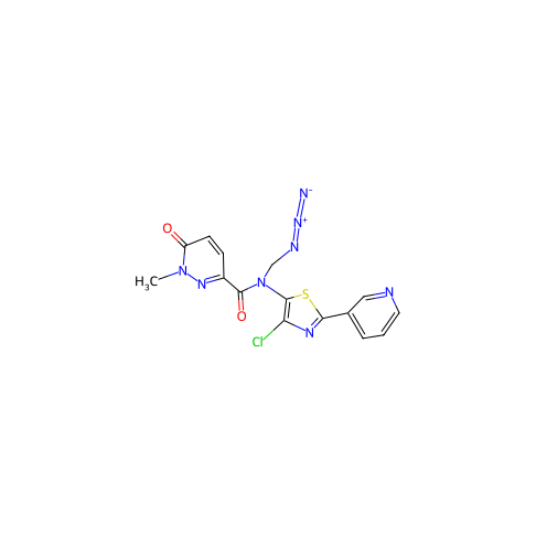 Cn1nc(C(=O)N(CN=[N+]=[N-])c2sc(-c3cccnc3)nc2Cl)ccc1=O